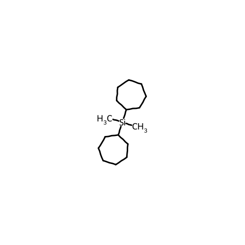 C[Si](C)(C1CCCCCC1)C1CCCCCC1